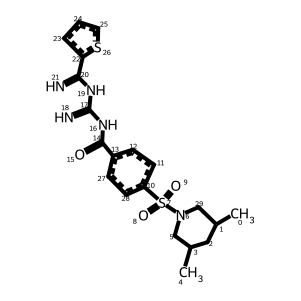 CC1CC(C)CN(S(=O)(=O)c2ccc(C(=O)NC(=N)NC(=N)c3cccs3)cc2)C1